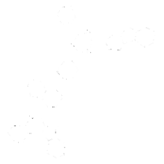 c1ccc(-c2nc(-c3ccc(-c4ccc(-c5nc6ccccc6c6c5oc5ccccc56)c5ccccc45)cc3)nc(-c3ccc4c(c3)oc3ccccc34)n2)cc1